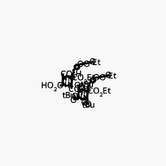 CCOCCOCCOc1ccc(CCCC(C(=O)OCC)N2CCN(CC(=O)O)CCN(CC(=O)O)CCN(CC(=O)O)CC2)cc1.CCOCCOCCOc1ccc(CCCC(C(=O)OCC)N2CCN(CC(=O)OC(C)(C)C)CCN(CC(=O)OC(C)(C)C)CCN(CC(=O)OC(C)(C)C)CC2)cc1